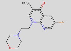 O=C(O)c1cn(CCN2CCOCC2)c2ncc(Br)cc2c1=O